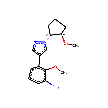 COc1c(N)cccc1-c1cnn([C@@H]2CCC[C@H]2OC)c1